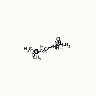 CNc1nc(Cl)nc2c1ncn2CCCCOC(=O)NCc1ccc(OC)c(OC)c1